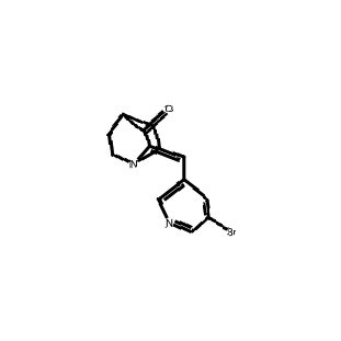 O=C1/C(=C/c2cncc(Br)c2)N2CCC1CC2